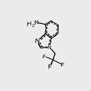 Nc1cccc2c1ncn2CC(F)(F)F